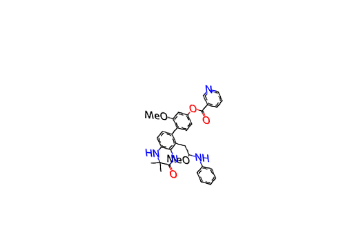 COc1cc(OC(=O)c2cccnc2)ccc1-c1ccc2c(c1CC(Nc1ccccc1)OC)N(C)C(=O)C(C)(C)N2